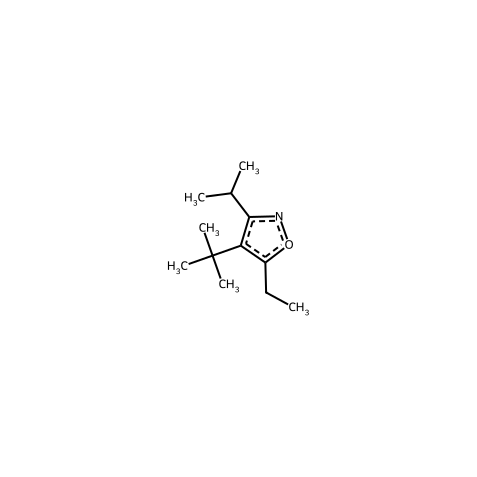 CCc1onc(C(C)C)c1C(C)(C)C